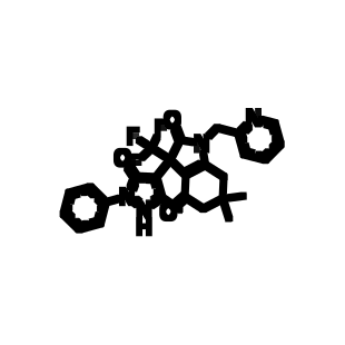 Cc1[nH]n(-c2ccccc2)c(=O)c1C1(C(F)(F)F)C(=O)N(Cc2ccccn2)C2=C1C(=O)CC(C)(C)C2